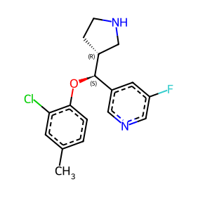 Cc1ccc(O[C@H](c2cncc(F)c2)[C@@H]2CCNC2)c(Cl)c1